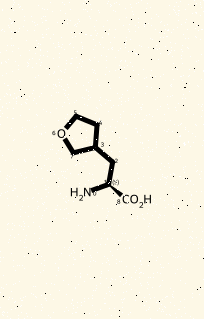 N[C@@H](CC1CCOC1)C(=O)O